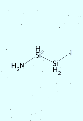 N[SiH2][SiH2]I